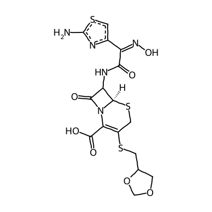 Nc1nc(/C(=N/O)C(=O)NC2C(=O)N3C(C(=O)O)=C(SCC4COCO4)CS[C@H]23)cs1